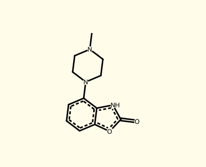 CN1CCN(c2cccc3oc(=O)[nH]c23)CC1